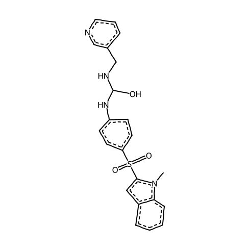 Cn1c(S(=O)(=O)c2ccc(NC(O)NCc3cccnc3)cc2)cc2ccccc21